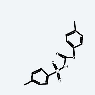 Cc1ccc(SC(=O)NS(=O)(=O)c2ccc(C)cc2)cc1